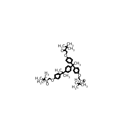 CC(C)(C)C(=O)COc1ccc(C(C)(c2ccc(O[CH2][Co](=[O])[C](C)(C)C)cc2)c2ccc(C(C)(C)c3ccc(O[CH2][Co](=[O])[C](C)(C)C)cc3)cc2)cc1